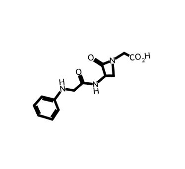 O=C(O)CN1CC(NC(=O)CNc2ccccc2)C1=O